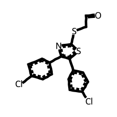 O=CCSc1nc(-c2ccc(Cl)cc2)c(-c2ccc(Cl)cc2)s1